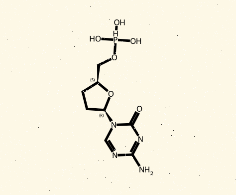 Nc1ncn([C@H]2CC[C@@H](CO[PH](O)(O)O)O2)c(=O)n1